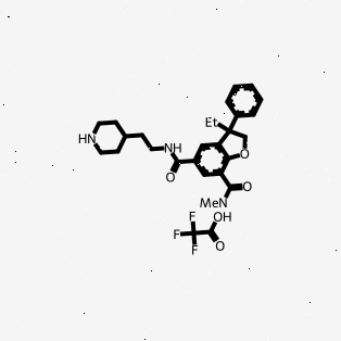 CCC1(c2ccccc2)COc2c(C(=O)NC)cc(C(=O)NCCC3CCNCC3)cc21.O=C(O)C(F)(F)F